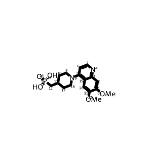 COc1cc2nccc(N3CCC(CP(=O)(O)O)CC3)c2cc1OC